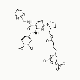 COc1ccc(CNc2nc(N3CCCC3COC(=O)CCCC(CO[N+](=O)[O-])O[N+](=O)[O-])ncc2C(=O)NCc2ncccn2)cc1Cl